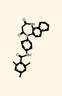 Cc1cc(C)c(C(=O)Nc2ccc(N3C(=O)CC(=O)Nc4c3ccc3ccccc43)cc2)c(C)c1